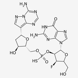 Nc1nc2c(ncn2[C@@H]2OC(CO)[C@@H](F)[C@H]2OP(=O)(S)OC[C@H]2O[C@@H](c3cnn4c(N)ncnc34)C[C@@H]2O)c(=O)[nH]1